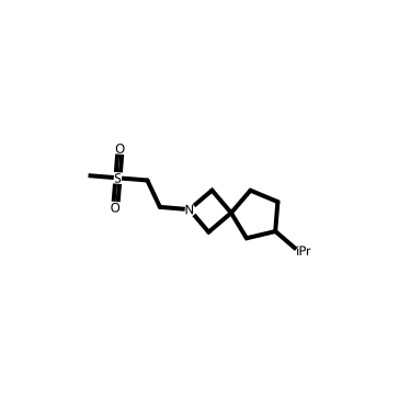 CC(C)C1CCC2(C1)CN(CCS(C)(=O)=O)C2